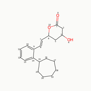 O=C1CC(O)CC(C=Cc2ccccc2C2CCCCCC2)O1